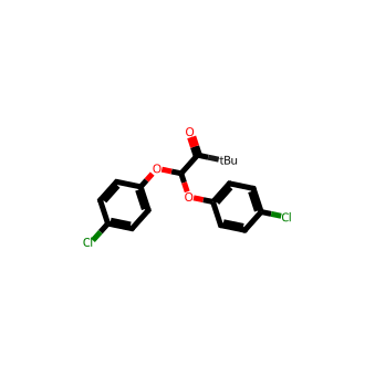 CC(C)(C)C(=O)C(Oc1ccc(Cl)cc1)Oc1ccc(Cl)cc1